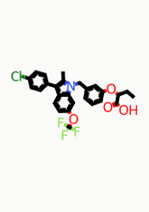 CCC(Oc1cccc(Cn2c(C)c(-c3ccc(Cl)cc3)c3ccc(OC(F)(F)F)cc32)c1)C(=O)O